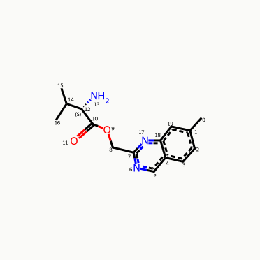 Cc1ccc2cnc(COC(=O)[C@@H](N)C(C)C)nc2c1